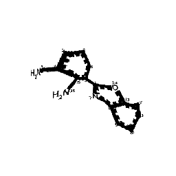 Nc1cccc(-c2nc3ccccc3o2)c1N